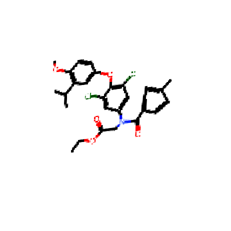 CCOC(=O)CN(C(=O)c1ccc(C)cc1)c1cc(Cl)c(Oc2ccc(OC)c(C(C)C)c2)c(Cl)c1